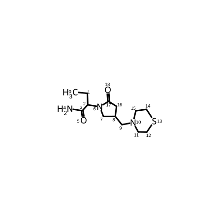 CCC(C(N)=O)N1CC(CN2CCSCC2)CC1=O